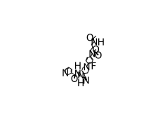 CC(=O)NCC1CN(c2ccc(N3CCC(C#N)(NNC(=O)c4cccnc4)CC3)c(F)c2)C(=O)O1